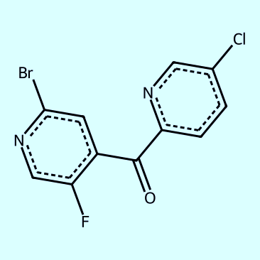 O=C(c1ccc(Cl)cn1)c1cc(Br)ncc1F